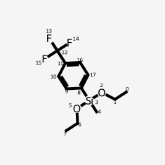 CCO[Si](C)(OCC)c1ccc(C(F)(F)F)cc1